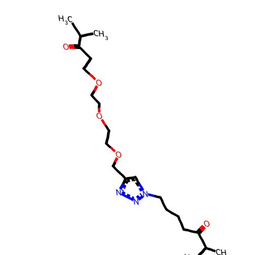 CC(C)C(=O)CCCCn1cc(COCCOCCOCCC(=O)C(C)C)nn1